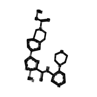 CC(C)(C)OC(=O)N1CCc2cc(-c3cnc(N)c(C(=O)Nc4cnccc4N4CCOCC4)n3)ccc2C1